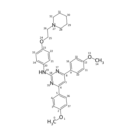 COc1ccc(-c2cc(-c3ccc(OC)cc3)nc(Nc3ccc(OCCN4CCCCC4)cc3)n2)cc1